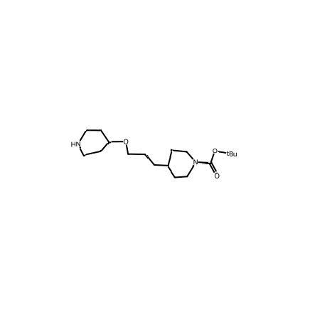 CC(C)(C)OC(=O)N1CCC(CCCOC2CCNCC2)CC1